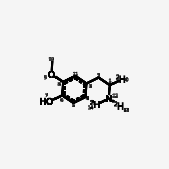 [2H]C(Cc1ccc(O)c(OC)c1)N([2H])[2H]